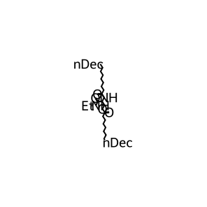 CCCCCCCCCCCCCCCCCC(=O)NC(COC(=O)CCCCCCCCCCCCCCCCC)C(=O)NCC